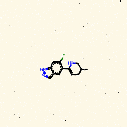 CC1CC=C(c2cc3cn[nH]c3cc2F)NC1